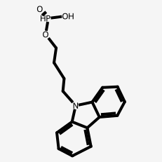 O=[PH](O)OCCCCn1c2ccccc2c2ccccc21